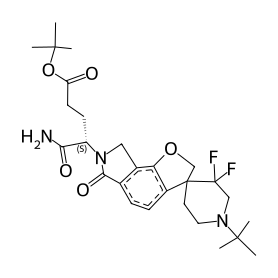 CC(C)(C)OC(=O)CC[C@@H](C(N)=O)N1Cc2c(ccc3c2OCC32CCN(C(C)(C)C)CC2(F)F)C1=O